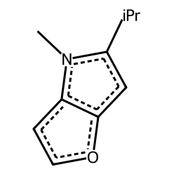 CC(C)c1cc2occc2n1C